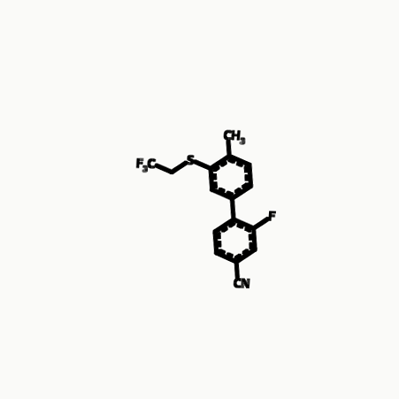 Cc1ccc(-c2ccc(C#N)cc2F)cc1SCC(F)(F)F